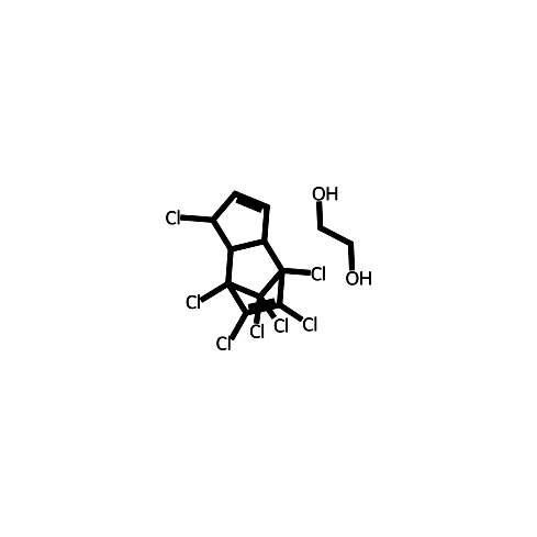 ClC1=C(Cl)C2(Cl)C3C(Cl)C=CC3C1(Cl)C2(Cl)Cl.OCCO